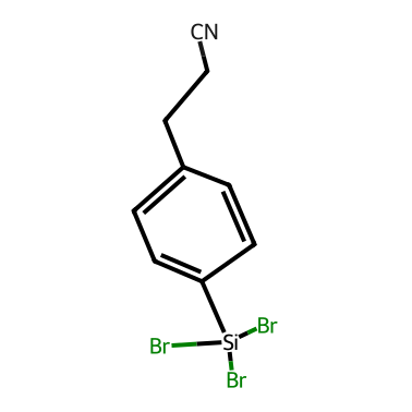 N#CCCc1ccc([Si](Br)(Br)Br)cc1